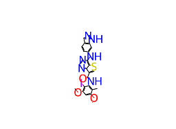 COc1cc(OC)c(I)c(NC(=O)c2csc3c(Nc4ccc5cn[nH]c5c4)ncnc23)c1C